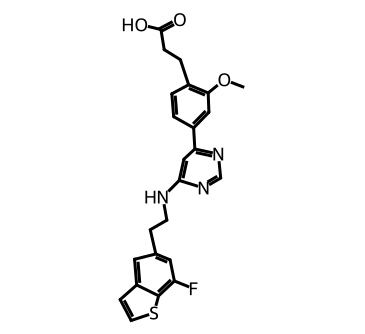 COc1cc(-c2cc(NCCc3cc(F)c4sccc4c3)ncn2)ccc1CCC(=O)O